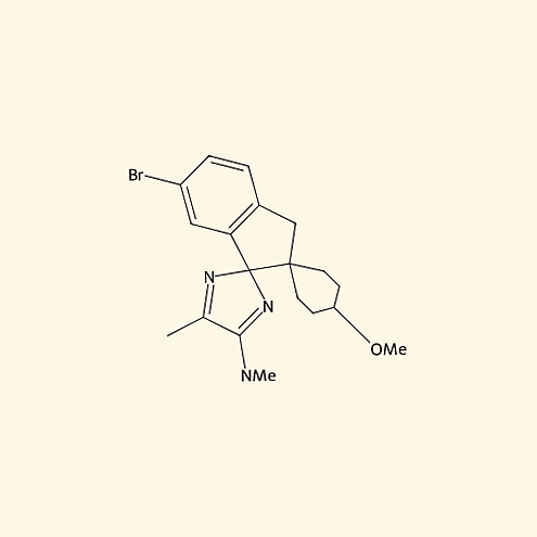 CNC1=NC2(N=C1C)c1cc(Br)ccc1CC21CCC(OC)CC1